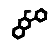 COc1nc2ccccc2cc1-c1cccnn1